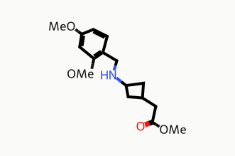 COC(=O)CC1CC(NCc2ccc(OC)cc2OC)C1